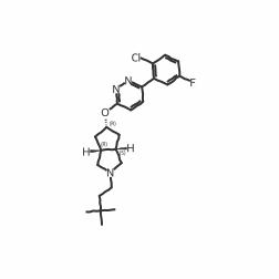 CC(C)(C)CCN1C[C@H]2C[C@@H](Oc3ccc(-c4cc(F)ccc4Cl)nn3)C[C@H]2C1